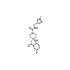 Cn1cc(CNC(=O)N2CCC3(CC2)CC(=O)c2cc(F)ccc2N3)cn1